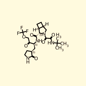 CC(C)(C)NC(=O)C(=O)N1C[C@@H]2CC[C@@H]2[C@H]1C(=O)N[C@@H](C[C@@H]1CCNC1=O)C(=O)COC(F)(F)F